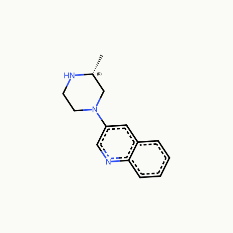 C[C@@H]1CN(c2cnc3ccccc3c2)CCN1